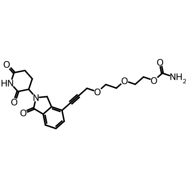 NC(=O)OCCOCCOCC#Cc1cccc2c1CN(C1CCC(=O)NC1=O)C2=O